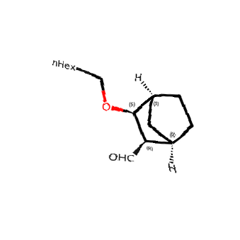 CCCCCCCO[C@H]1[C@H]2CC[C@H](C2)[C@H]1C=O